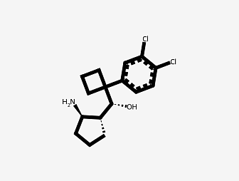 N[C@@H]1CCC[C@H]1[C@@H](O)C1(c2ccc(Cl)c(Cl)c2)CCC1